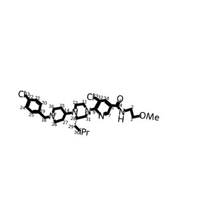 COCCNC(=O)c1cnc(N2CCN(C3CCN(Cc4ccc(Cl)cc4)CC3)[C@@H](CC(C)C)C2)c(Cl)c1